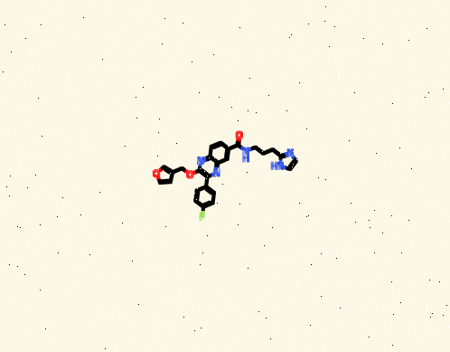 O=C(NCCCc1ncc[nH]1)c1ccc2nc(OCc3ccoc3)c(-c3ccc(F)cc3)nc2c1